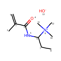 C=C(C)C(=O)NC(CC)[N+](C)(C)C.[OH-]